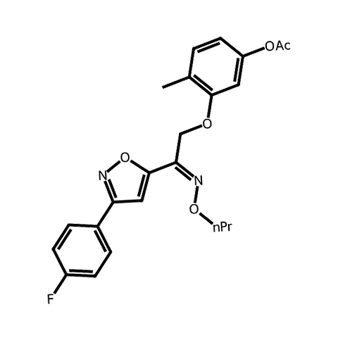 CCCON=C(COc1cc(OC(C)=O)ccc1C)c1cc(-c2ccc(F)cc2)no1